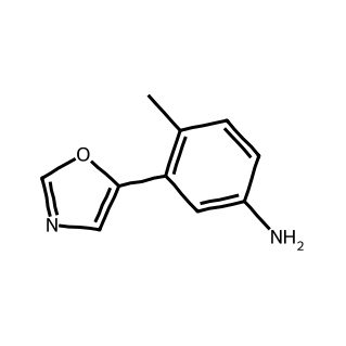 Cc1ccc(N)cc1-c1cnco1